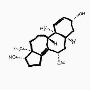 CC(=O)O[C@H]1C[C@@H]2C[C@@H](O)C=C[C@]2(C)[C@H]2CC[C@@]3(C)C(=C12)CC[C@@H]3O